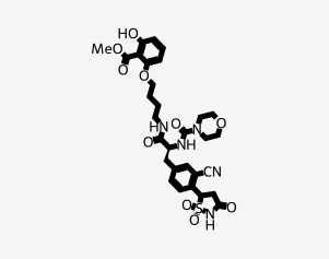 COC(=O)c1c(O)cccc1OCCCCNC(=O)[C@H](Cc1ccc(C2CC(=O)NS2(=O)=O)c(C#N)c1)NC(=O)N1CCOCC1